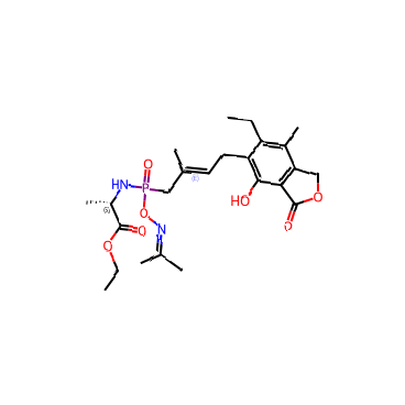 CCOC(=O)[C@H](C)NP(=O)(C/C(C)=C/Cc1c(O)c2c(c(C)c1CC)COC2=O)ON=C(C)C